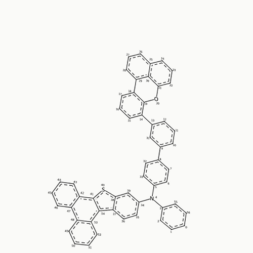 c1ccc(N(c2ccc(-c3cccc(-c4cccc5c4Oc4cccc6cccc-5c46)c3)cc2)c2ccc3c(c2)sc2c4ccccc4c4ccccc4c32)cc1